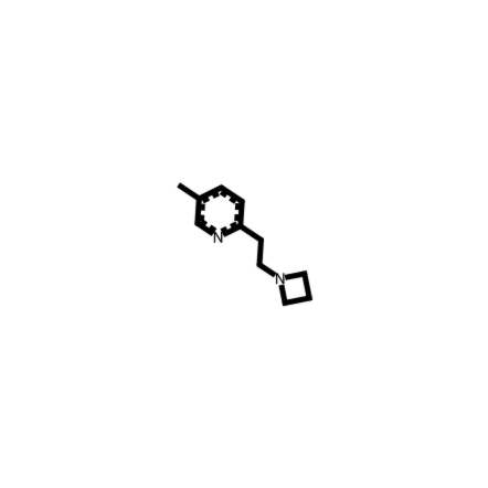 Cc1ccc(CCN2CCC2)nc1